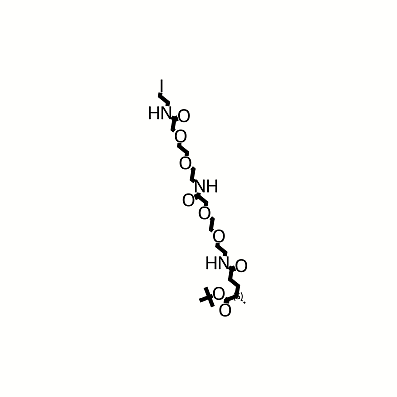 C[C@@H](CCC(=O)NCCOCCOCC(=O)NCCOCCOCC(=O)NCCI)C(=O)OC(C)(C)C